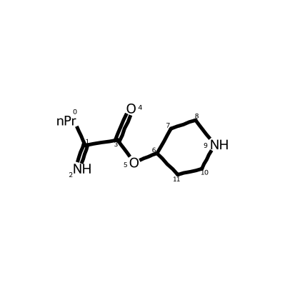 CCCC(=N)C(=O)OC1CCNCC1